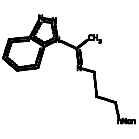 CCCCCCCCCCCCN=C(C)n1nnc2ccccc21